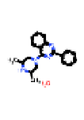 CC1CN(c2nc(-c3ccccc3)nc3ccccc23)CC(C)N1.O